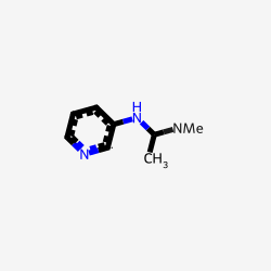 CNC(C)Nc1[c]nccc1